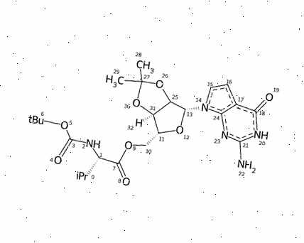 CC(C)[C@H](NC(=O)OC(C)(C)C)C(=O)OC[C@H]1O[C@@H](n2ccc3c(=O)[nH]c(N)nc32)C2OC(C)(C)O[C@@H]21